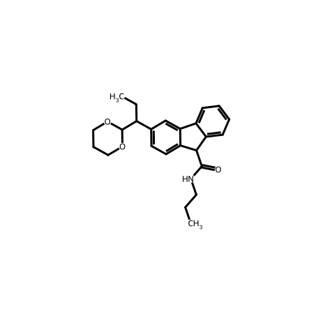 CCCNC(=O)C1c2ccccc2-c2cc(C(CC)C3OCCCO3)ccc21